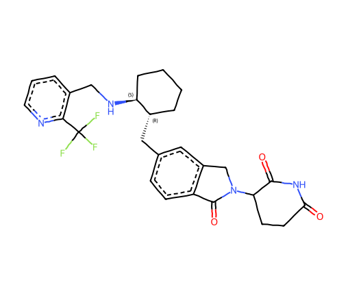 O=C1CCC(N2Cc3cc(C[C@H]4CCCC[C@@H]4NCc4cccnc4C(F)(F)F)ccc3C2=O)C(=O)N1